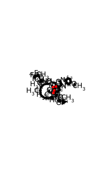 COc1ccc2nc(O[C@@H]3C[C@H]4C(=O)N[C@]5(C(=O)NS(=O)(=O)C6(C)CC6)CC5/C=C\CC[C@@H](C)C[C@@H](C)[C@H](NC(=O)OC(C)(C)C(F)(F)F)C(=O)N4C3)c(-c3ccc(OC(C)C)cc3)nc2c1